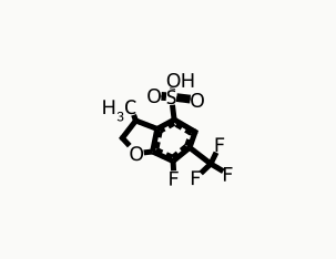 CC1COc2c(F)c(C(F)(F)F)cc(S(=O)(=O)O)c21